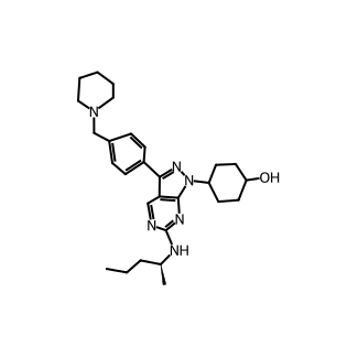 CCC[C@H](C)Nc1ncc2c(-c3ccc(CN4CCCCC4)cc3)nn(C3CCC(O)CC3)c2n1